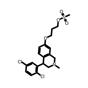 CN1Cc2cc(OCCCOS(C)(=O)=O)ccc2C(c2cc(Cl)ccc2Cl)C1